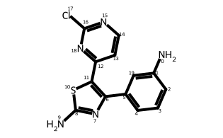 Nc1cccc(-c2nc(N)sc2-c2ccnc(Cl)n2)c1